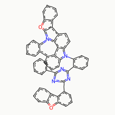 c1ccc(-c2nc(-c3ccccc3-n3c4cccc5c6ccccc6n6c7oc8ccccc8c7c7ccc3c(c54)c76)nc(-c3cccc4oc5ccccc5c34)n2)cc1